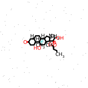 CCCC(=O)O[C@@]1(C(=O)[CH](O)[Na])[C@@H](C)C[C@H]2[C@@H]3CC[C@@H]4CC(=O)CC[C@]4(C)[C@@]3(F)[C@@H](O)C[C@@]21C